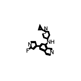 N#S1(C2CC2)CCC(Nc2cc(-c3ccnc(F)c3)cc3ccncc23)CC1